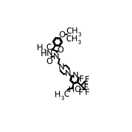 CCCc1cc(N2CCN(CCN3C(=O)NC(C)(c4ccc(OC(C)C)cc4)C3=O)CC2)ncc1C(O)(C(F)(F)F)C(F)(F)F